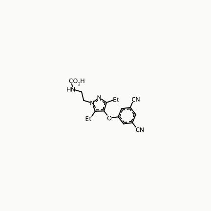 CCc1nn(CCNC(=O)O)c(CC)c1Oc1cc(C#N)cc(C#N)c1